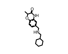 CC1Oc2ccc(CNCC3CCCCC3)cc2NC1=O